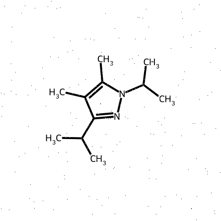 Cc1c(C(C)C)nn(C(C)C)c1C